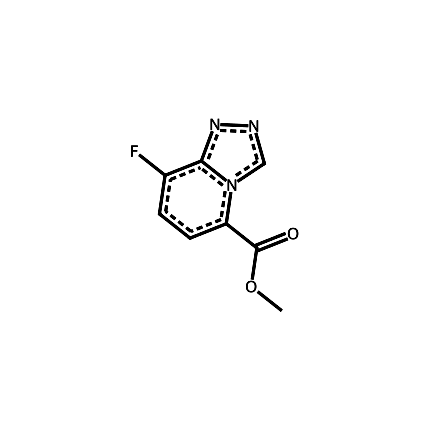 COC(=O)c1ccc(F)c2nncn12